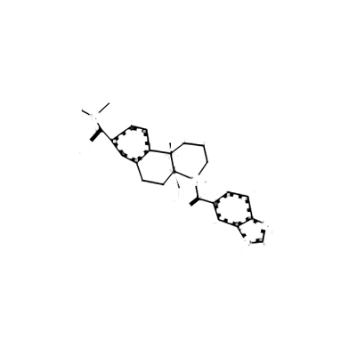 CN(C)C(=O)c1ccc2c(c1)CC[C@@H]1[C@H]2CCCN1C(=O)c1ccc2[nH]cnc2c1